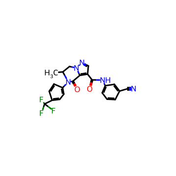 CC1Cn2ncc(C(=O)Nc3cccc(C#N)c3)c2C(=O)N1c1ccc(C(F)(F)F)cc1